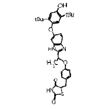 CC(Oc1ccc(CC2SC(=O)NC2=O)cc1)c1nc2ccc(Oc3cc(C(C)(C)C)c(O)cc3C(C)(C)C)cc2[nH]1